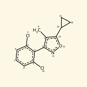 Cc1c(-c2c(Cl)cccc2Cl)noc1C1CC1